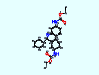 CCOC(=O)Nc1ccc2c(c1)nc(-c1ccccc1)c1cc(NC(=O)OCC)ccc12